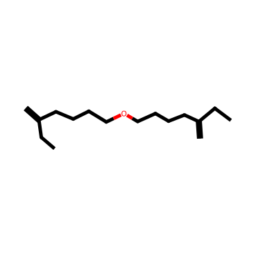 C=C(CC)CCCCOCCCCC(=C)CC